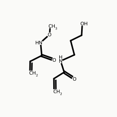 C=CC(=O)NCCCO.C=CC(=O)NOC